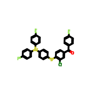 O=C(c1ccc(F)cc1)c1ccc(Sc2ccc([S+](c3ccc(F)cc3)c3ccc(F)cc3)cc2)c(Cl)c1